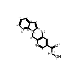 CCc1cc(C(=O)NO)cnc1Cn1ccc2cccnc21